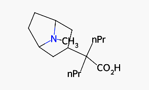 CCCC(CCC)(C(=O)O)C1CC2CCC(C1)N2C